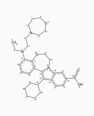 CCN(CCN1CCCOCC1)c1cccc2c1OCCn1c-2c(C2CCCCC2)c2ccc(C(=O)O)cc21